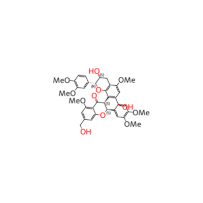 COc1ccc([C@H]2Oc3c(c(OC)cc(CO)c3[C@@H]3C(=O)c4c(OC)cc(CO)cc4O[C@@H]3c3ccc(OC)c(OC)c3)C[C@@H]2O)cc1OC